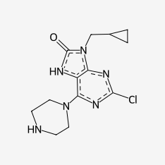 O=c1[nH]c2c(N3CCNCC3)nc(Cl)nc2n1CC1CC1